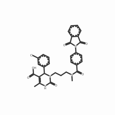 CC1=C(C(=O)O)C(c2cccc(Cl)c2)N(CCCN(C)C(=O)c2ccc(N3C(=O)c4ccccc4C3=O)cc2)C(=O)N1